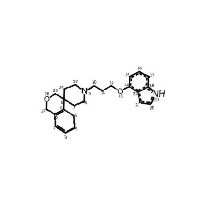 C1=CC2=C(CC1)C1(CCN(CCCOc3cccc4[nH]ccc34)CC1)COC2